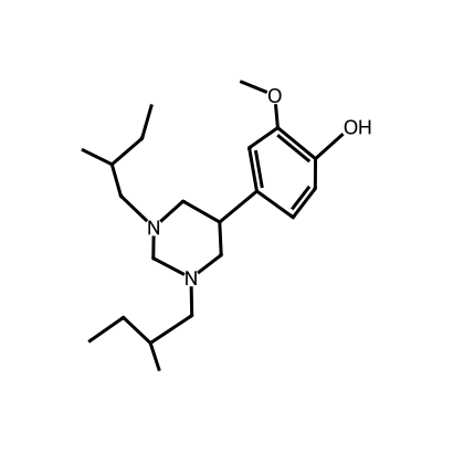 CCC(C)CN1CC(c2ccc(O)c(OC)c2)CN(CC(C)CC)C1